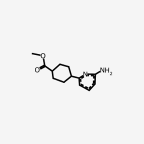 COC(=O)C1CCC(c2cccc(N)n2)CC1